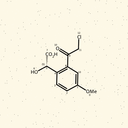 COc1ccc([C@H](O)C(=O)O)c(C(=O)CCl)c1